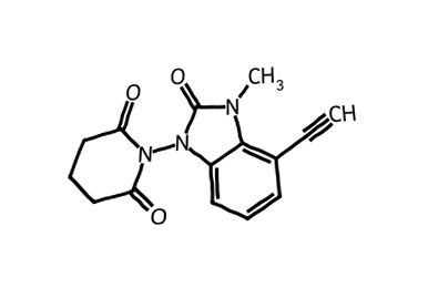 C#Cc1cccc2c1n(C)c(=O)n2N1C(=O)CCCC1=O